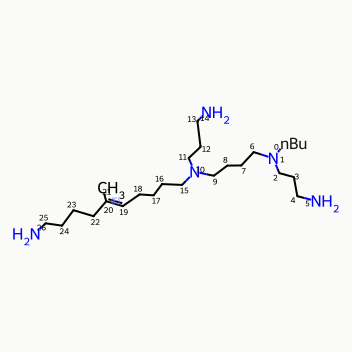 CCCCN(CCCN)CCCCN(CCCN)CCCC/C=C(\C)CCCCN